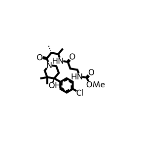 COC(=O)NCCC(=O)NC(C)[C@@H](C)C(=O)N1CC[C@](O)(c2ccc(Cl)cc2)C(C)(C)C1